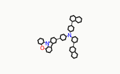 c1cc(-c2ccc3ccccc3c2)cc(N(c2ccc(-c3ccc4c(c3)c3cccc5c3n4-c3ccccc3O5)cc2)c2ccc(-c3cccc4ccccc34)cc2)c1